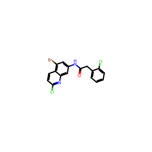 O=C(Cc1ccccc1Cl)Nc1cc(Br)c2ccc(Cl)nc2c1